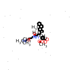 CC(=O)Oc1ccccc1C(=O)[O-].C[C@H](CCC(=O)NCCCOCC[N+](C)(C)C)[C@H]1CCC2C3CCC4CCCC[C@]4(C)C3CC[C@@]21C